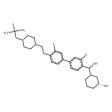 CC(C)(F)CN1CCC(COc2ccc(-c3ccc(C(O)N4CCC[C@@H](O)C4)c(F)c3)cc2F)CC1